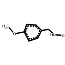 COc1ccc(CNS)cc1